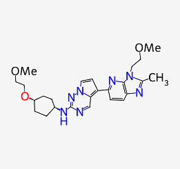 COCCO[C@H]1CC[C@@H](Nc2ncc3c(-c4ccc5nc(C)n(CCOC)c5n4)ccn3n2)CC1